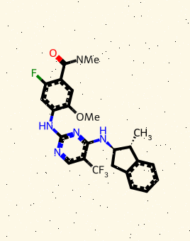 CNC(=O)c1cc(OC)c(Nc2ncc(C(F)(F)F)c(N[C@@H]3Cc4ccccc4[C@H]3C)n2)cc1F